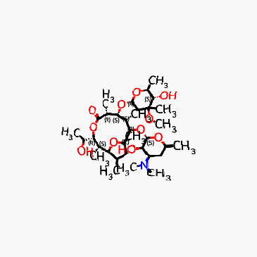 COC1(C)C[C@H](O[C@H]2[C@H](C)[C@@H](O[C@@H]3OC(C)CC(N(C)C)C3O)[C@@]3(C)CC(C)C(O3)[C@H](C)[C@H](C(C)O)OC(=O)[C@@H]2C)OC(C)[C@@H]1O